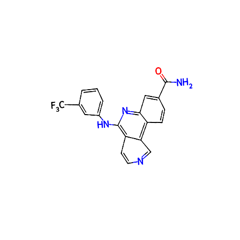 NC(=O)c1ccc2c(c1)nc(Nc1cccc(C(F)(F)F)c1)c1ccncc12